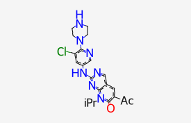 CC(=O)c1cc2cnc(Nc3cnc(N4CCNCC4)c(Cl)c3)nc2n(C(C)C)c1=O